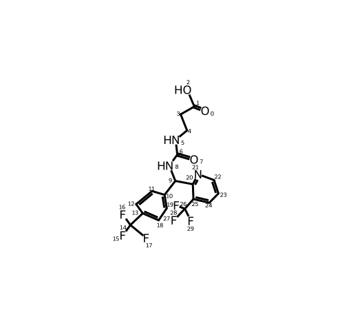 O=C(O)CCNC(=O)NC(c1ccc(C(F)(F)F)cc1)c1ncccc1C(F)(F)F